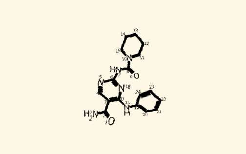 NC(=O)c1cnc(NC(=O)N2CCCCC2)nc1Nc1ccccc1